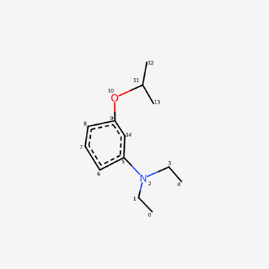 CCN(CC)c1cccc(OC(C)C)c1